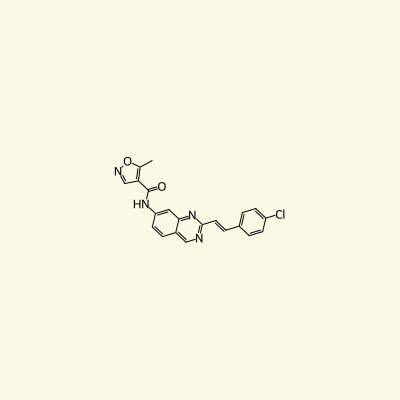 Cc1oncc1C(=O)Nc1ccc2cnc(/C=C/c3ccc(Cl)cc3)nc2c1